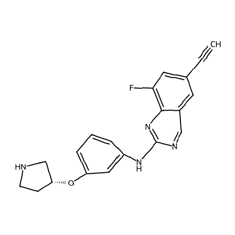 C#Cc1cc(F)c2nc(Nc3cccc(O[C@@H]4CCNC4)c3)ncc2c1